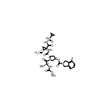 C=C[C@@H]1C[C@]1(NC(=O)[C@@H]1C[C@@H](OC(=O)N2Cc3cccc(F)c3C2)CN1C(=O)[C@@H](NC(=O)OC(C)(C)C)C(C)(C)C)C(=O)NS(=O)(=O)C1CC1